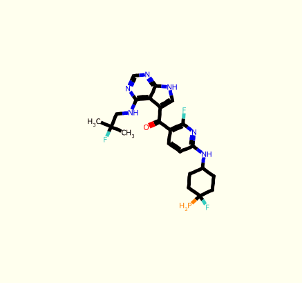 CC(C)(F)CNc1ncnc2[nH]cc(C(=O)c3ccc(NC4CCC(F)(P)CC4)nc3F)c12